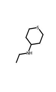 CCNC1CCSCC1